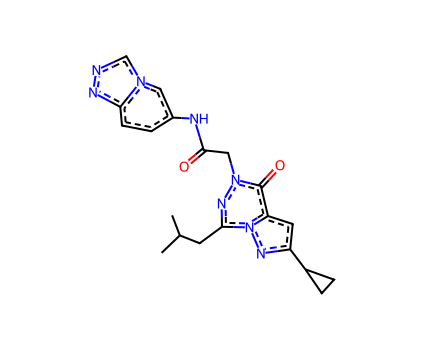 CC(C)Cc1nn(CC(=O)Nc2ccc3nncn3c2)c(=O)c2cc(C3CC3)nn12